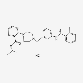 Cc1ccccc1C(=O)Nc1cccc(CN2CCN(c3ncccc3C(=O)OC(C)C)CC2)c1.Cl